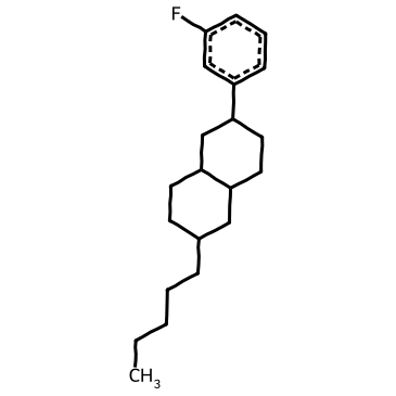 CCCCCC1CCC2CC(c3cccc(F)c3)CCC2C1